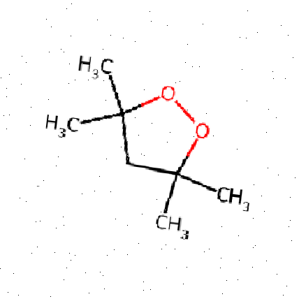 CC1(C)CC(C)(C)OO1